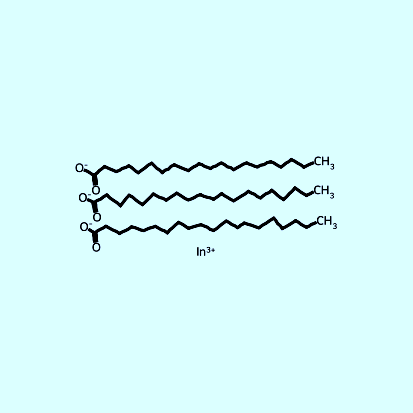 CCCCCCCCCCCCCCCCCCCC(=O)[O-].CCCCCCCCCCCCCCCCCCCC(=O)[O-].CCCCCCCCCCCCCCCCCCCC(=O)[O-].[In+3]